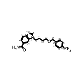 NC(=O)c1ccc2ncn(CCCCOCc3ccc(C(F)(F)F)cc3)c2c1